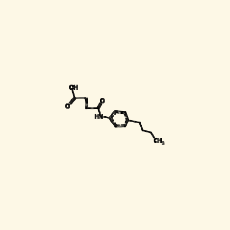 CCCCc1ccc(NC(=O)C=CC(=O)O)cc1